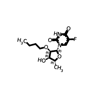 CCCCO[C@@H]1[C@H](O)[C@@H](C)O[C@H]1n1cc(F)c(=O)[nH]c1=O